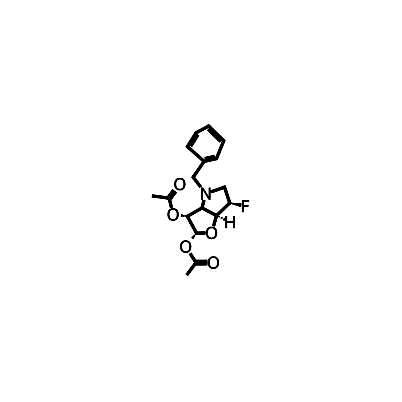 CC(=O)O[C@H]1O[C@H]2C([C@H]1OC(C)=O)N(Cc1ccccc1)C[C@H]2F